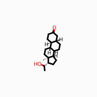 CC(O)[C@H]1CC[C@H]2[C@@H]3CC[C@H]4CC(=O)CC[C@@H]4[C@H]3CC[C@]12C